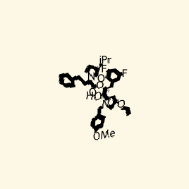 C=CCO[C@@H]1C[C@H]([C@H](O)[C@H](Cc2cc(F)cc(F)c2)OC(=O)C(CCc2ccccc2)N2CC[C@H](CC(C)C)C2=O)N(Cc2ccc(OC)cc2)C1